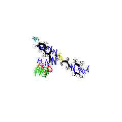 Cl.Cl.Cl.Nc1nc(SCCCN2CCNCC2)nc(N)c1Cc1ccc(F)cc1.O